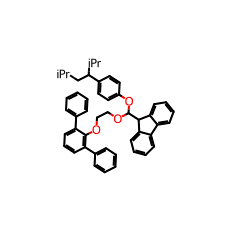 CC(C)CC(c1ccc(OC(OCCOc2c(-c3ccccc3)cccc2-c2ccccc2)C2c3ccccc3-c3ccccc32)cc1)C(C)C